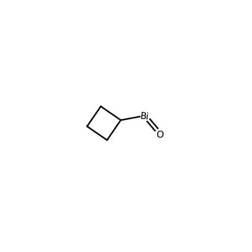 [O]=[Bi][CH]1CCC1